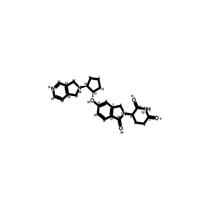 O=C1CCC(N2Cc3cc(O[C@H]4CCC[C@@H]4N4Cc5ccncc5C4)ccc3C2=O)C(=O)N1